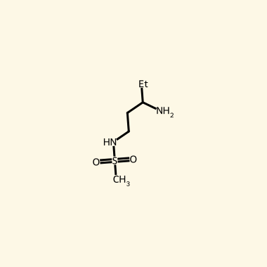 CCC(N)CCNS(C)(=O)=O